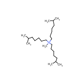 CC(C)CCCCC[N+](C)(CCCCCC(C)C)CCCCCC(C)C